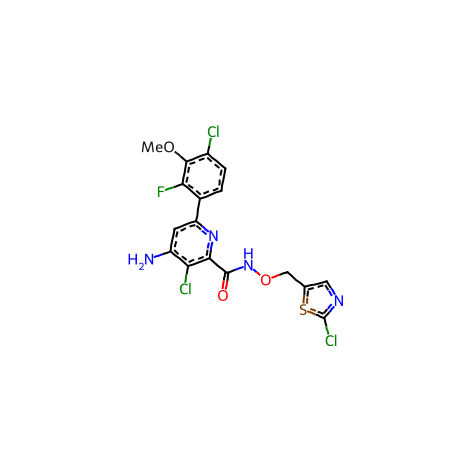 COc1c(Cl)ccc(-c2cc(N)c(Cl)c(C(=O)NOCc3cnc(Cl)s3)n2)c1F